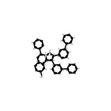 Fc1ccc2cc(-c3ccccc3)n3nc(-c4cccc(-c5ccccc5)c4)c(-c4cccc(-c5ccccc5)c4)c3c2c1